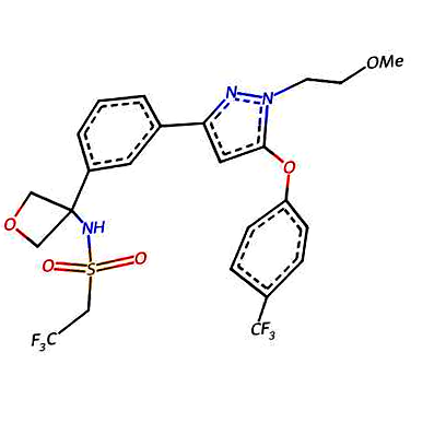 COCCn1nc(-c2cccc(C3(NS(=O)(=O)CC(F)(F)F)COC3)c2)cc1Oc1ccc(C(F)(F)F)cc1